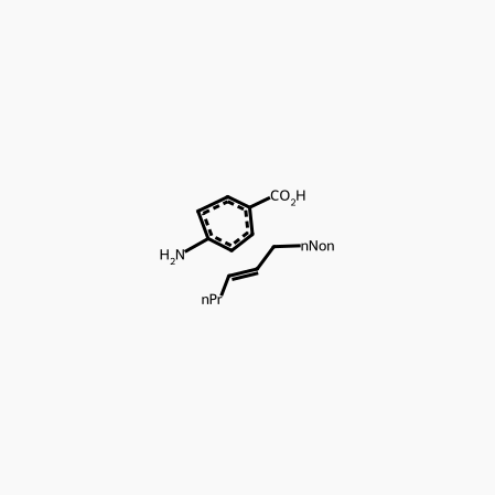 CCCC=CCCCCCCCCCC.Nc1ccc(C(=O)O)cc1